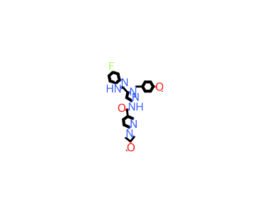 COc1ccc(Cn2nc(NC(=O)c3ccc(N4CC(OC)C4)nc3)cc2-c2nc3cc(F)ccc3[nH]2)cc1